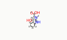 CN1C(C(=O)O)CC2(O)c3ccccc3NC12